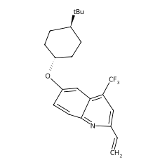 C=Cc1cc(C(F)(F)F)c2cc(O[C@H]3CC[C@H](C(C)(C)C)CC3)ccc2n1